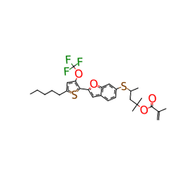 C=C(C)C(=O)OC(C)(C)CC(C)Sc1ccc2cc(-c3sc(CCCCC)cc3OC(F)(F)F)oc2c1